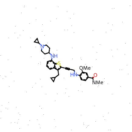 CNC(=O)c1ccc(NCC#Cc2sc3c(NC4CCN(C5CC5)CC4)cccc3c2CC2CC2)c(OC)c1